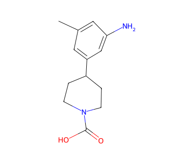 Cc1cc(N)cc(C2CCN(C(=O)O)CC2)c1